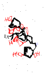 CCC1(C)Oc2cc(O)ccc2C23OC2(c2ccc(O)cc2O)Oc2cc(/C=C\c4ccc(O)cc4O)cc(O)c2C3C1=O